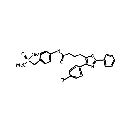 COP(=O)(Cc1ccc(NC(=O)CCCc2oc(-c3ccccc3)nc2-c2ccc(Cl)cc2)cc1)OC